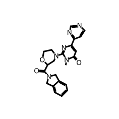 Cn1c(N2CCOC(C(=O)N3Cc4ccccc4C3)C2)nc(-c2ccncn2)cc1=O